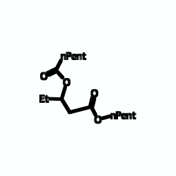 CCCCCOC(=O)CC(CC)OC(=O)CCCCC